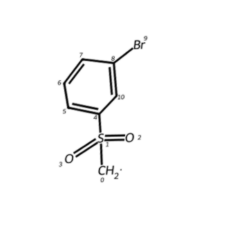 [CH2]S(=O)(=O)c1cccc(Br)c1